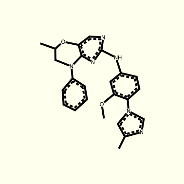 COc1cc(Nc2ncc3c(n2)N(c2ccccc2)CC(C)O3)ccc1-n1cnc(C)c1